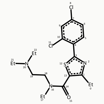 CCc1nc(-c2ccc(Cl)cc2Cl)sc1C(=O)N(CC)CCN(CC)CC